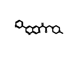 CN1CCN(CC(=O)Nc2cc3cc(-c4cccnc4)cnc3cn2)CC1